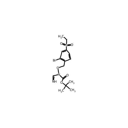 CCS(=O)(=O)c1ccc(CON(C=N)C(=O)OC(C)(C)C)c(Br)c1